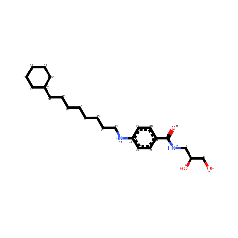 O=C(NCC(O)CO)c1ccc(NCCCCCCCCC2CCCCC2)cc1